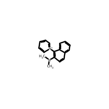 CN(C)c1ccc2ccccc2c1-[n+]1ccccc1